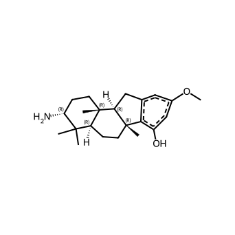 COc1cc(O)c2c(c1)C[C@@H]1[C@@]3(C)CC[C@@H](N)C(C)(C)[C@@H]3CC[C@@]21C